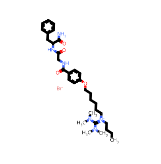 CCCC[N+](CCCCCCOc1ccc(C(=O)NCC(=O)NC(Cc2ccccc2)C(N)=O)cc1)=C(N(C)C)N(C)C.[Br-]